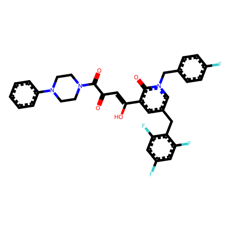 O=C(/C=C(\O)c1cc(Cc2c(F)cc(F)cc2F)cn(Cc2ccc(F)cc2)c1=O)C(=O)N1CCN(c2ccccc2)CC1